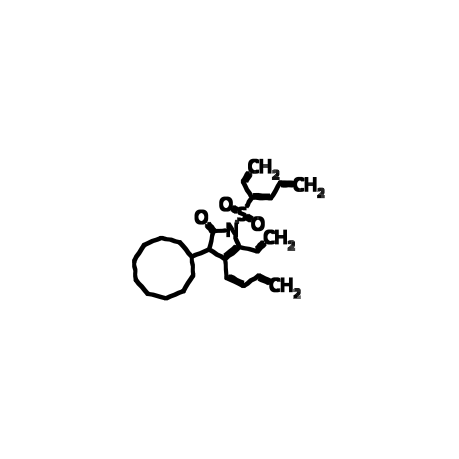 C=C/C=C\C1=C(C=C)N(S(=O)(=O)/C(C=C)=C/C=C)C(=O)C1C1CCCCCCCCC1